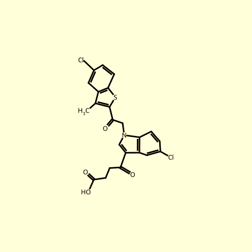 Cc1c(C(=O)Cn2cc(C(=O)CCC(=O)O)c3cc(Cl)ccc32)sc2ccc(Cl)cc12